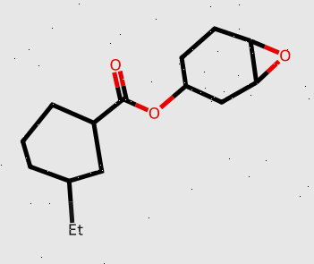 CCC1CCCC(C(=O)OC2CCC3OC3C2)C1